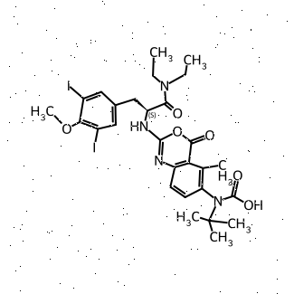 CCN(CC)C(=O)[C@H](Cc1cc(I)c(OC)c(I)c1)Nc1nc2ccc(N(C(=O)O)C(C)(C)C)c(C)c2c(=O)o1